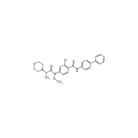 CON(C(=O)C(C)N1CCOCC1)c1ccc(C(=O)Nc2ccc(-c3ccccc3)cc2)c(Cl)c1